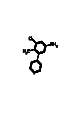 Cc1c(Cl)cc(N)cc1-c1cc[c]cc1